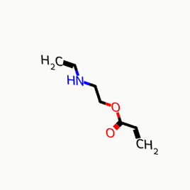 C=CNCCOC(=O)C=C